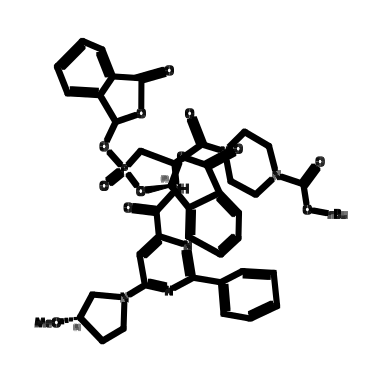 CCCCOC(=O)N1CCN(C(=O)C(CP(=O)(OC2OC(=O)c3ccccc32)O[C@H]2OC(=O)c3ccccc32)NC(=O)c2cc(N3CC[C@H](OC)C3)nc(-c3ccccc3)n2)CC1